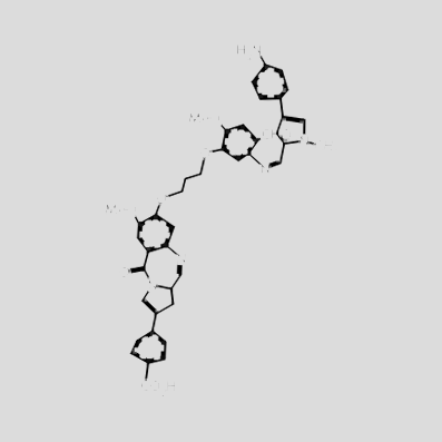 COc1cc2c(cc1OCCCOc1cc(/N=C\C3CC(c4ccc(N)cc4)=CN3C)c(C=O)cc1OC)N=CC1CC(c3ccc(C(=O)O)cc3)=CN1C2=O